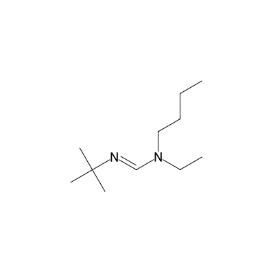 CCCCN(/C=N/C(C)(C)C)CC